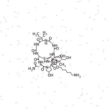 CC[C@H](C)C1NC(=O)CNC(=O)C2Cc3c([nH]c4cc(OCCCCCCN)ccc34)SCC(NC(=O)CNC1=O)C(=O)N[C@@H](CC(N)=O)C(=O)N1CC(O)CC1C(=O)N[C@@H]([C@@H](C)C(O)CO)C(=O)N2